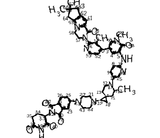 Cc1c(-c2cc(Nc3ccc(N4CC[C@@]5(C[C@@H]4C)C[C@H]5N4CCN(c5ccc6c(c5)C(=O)N(C5CCC(=O)NC5=O)C6=O)CC4)cn3)c(=O)n(C)c2)ccnc1N1CCn2c(cc3c2CC(C)(C)C3)C1=O